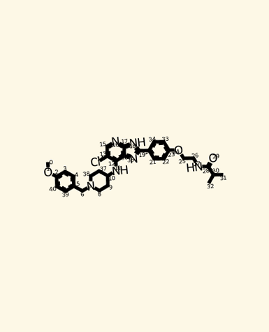 COc1ccc(CN2CCC(Nc3c(Cl)cnc4[nH]c(-c5ccc(OCCNC(=O)C(C)C)cc5)nc34)CC2)cc1